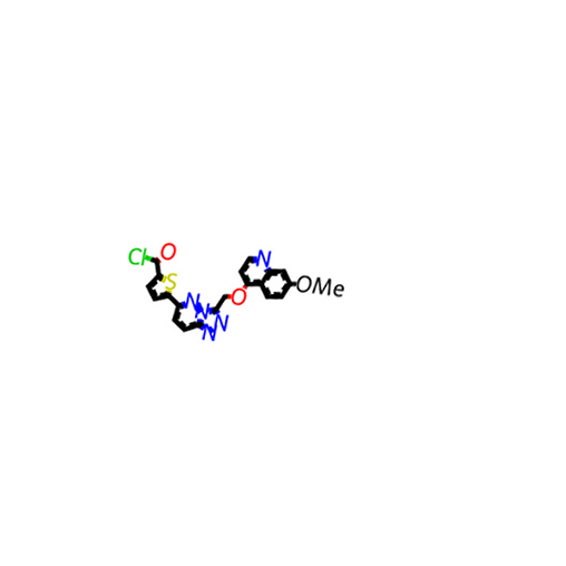 COc1ccc2c(OCc3nnc4ccc(-c5ccc(C(=O)Cl)s5)nn34)ccnc2c1